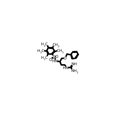 Cc1c(C)c(C)c(S(=O)(=O)NC(CCNC(=N)N)COCc2ccccc2)c(C)c1C